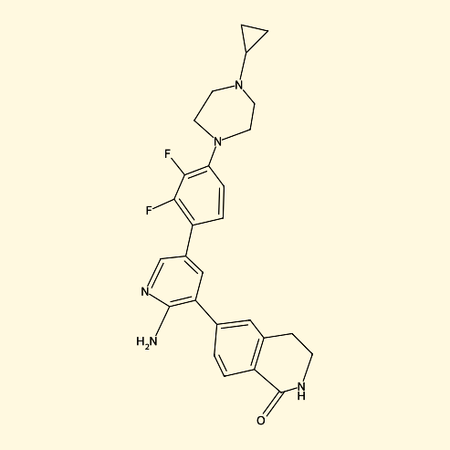 Nc1ncc(-c2ccc(N3CCN(C4CC4)CC3)c(F)c2F)cc1-c1ccc2c(c1)CCNC2=O